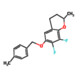 Cc1ccc(COc2cc3c(c(F)c2F)OC(C)CC3)cc1